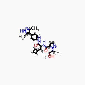 Cc1n[nH]c(C)c1-c1ccc(NC(=O)[C@@H](NC(=O)c2ccnn2[C@@H](C)CO)C(C)C2CCC2)cc1